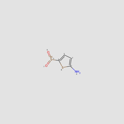 Nc1ccc([SH](=O)=O)s1